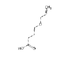 C=CCOCCCC(=O)O